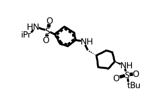 CC(C)NS(=O)(=O)c1ccc(NC[C@H]2CC[C@H](NS(=O)(=O)C(C)(C)C)CC2)cc1